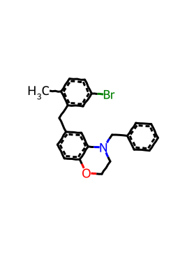 Cc1ccc(Br)cc1Cc1ccc2c(c1)N(Cc1ccccc1)CCO2